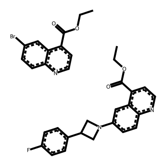 CCOC(=O)c1ccnc2ccc(Br)cc12.CCOC(=O)c1ccnc2ccc(N3CC(c4ccc(F)cc4)C3)cc12